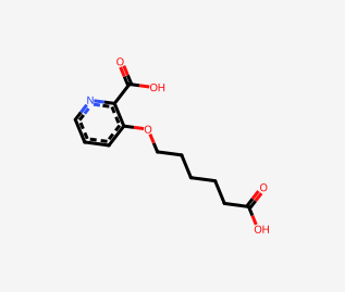 O=C(O)CCCCCOc1cccnc1C(=O)O